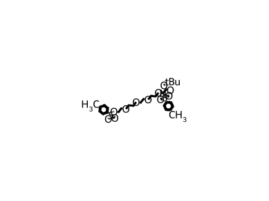 Cc1ccc(S(=O)(=O)OCCOCCOCCOCCON(C(=O)OC(C)(C)C)S(=O)(=O)c2ccc(C)cc2)cc1